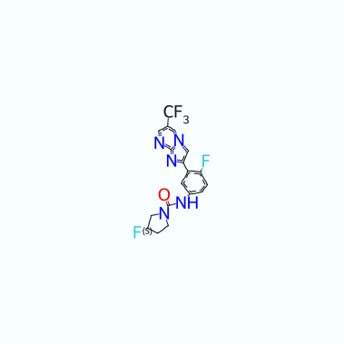 O=C(Nc1ccc(F)c(-c2cn3cc(C(F)(F)F)cnc3n2)c1)N1CC[C@H](F)C1